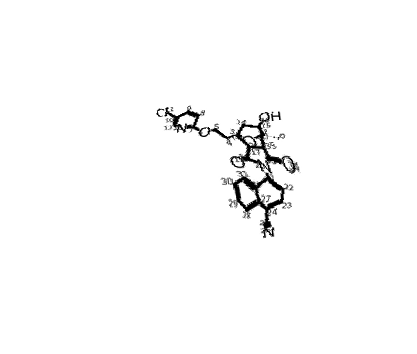 C[C@]12O[C@@](CCOc3ccc(Cl)cn3)(CC1O)C1C(=O)N(c3ccc(C#N)c4ccccc34)C(=O)C12